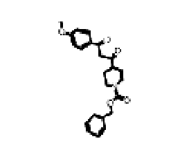 COc1ccc(C(=O)CC(=O)C2CCN(C(=O)OCc3ccccc3)CC2)cc1